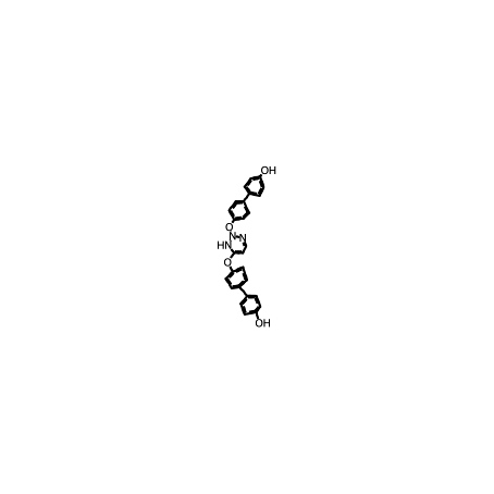 Oc1ccc(-c2ccc(OC3=CC=NN(Oc4ccc(-c5ccc(O)cc5)cc4)N3)cc2)cc1